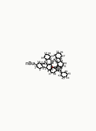 CCCCc1ccc2c3ccc(CCCC)c4c3n(c2c1)-c1ccccc1B4n1c2ccccc2c2ccc3c(c4ccccc4n3-c3ccccc3)c21